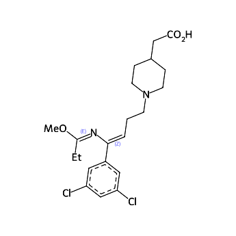 CC/C(=N\C(=C/CCN1CCC(CC(=O)O)CC1)c1cc(Cl)cc(Cl)c1)OC